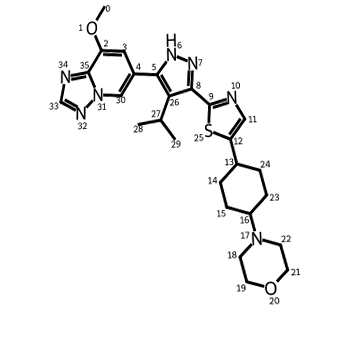 COc1cc(-c2[nH]nc(-c3ncc(C4CCC(N5CCOCC5)CC4)s3)c2C(C)C)cn2ncnc12